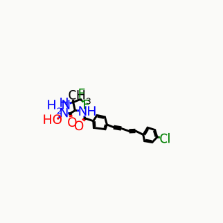 CC(N)(C(F)F)C(NC(=O)c1ccc(C#CC#Cc2ccc(Cl)cc2)cc1)C(=O)NO